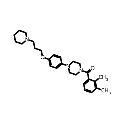 Cc1cccc(C(=O)N2CCN(c3ccc(OCCCN4CCCCC4)cc3)CC2)c1C